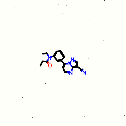 CCC(=O)N(CC)c1cccc(-c2ccnc3c(C#N)cnn23)c1